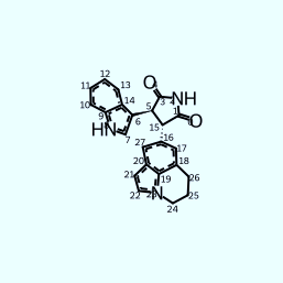 O=C1NC(=O)[C@H](c2c[nH]c3ccccc23)[C@H]1c1cc2c3c(ccn3CCC2)c1